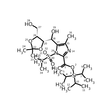 C=C(O[Si](C(C)C)(C(C)C)C(C)C)c1nc(C)c(C(O)[C@@H]2OC(C)(C)O[C@@H]2CO)n1S(=O)(=O)N(C)C